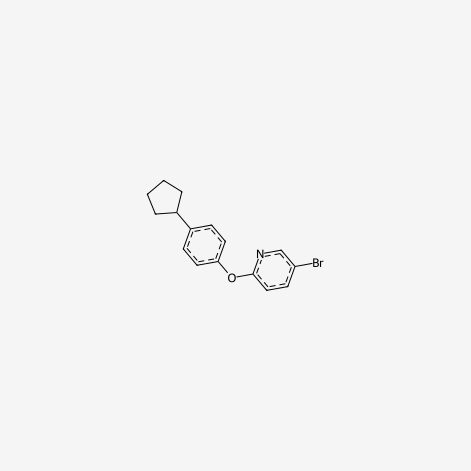 Brc1ccc(Oc2ccc(C3CCCC3)cc2)nc1